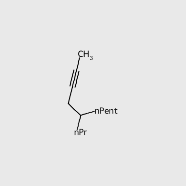 CC#CCC(CCC)CCCCC